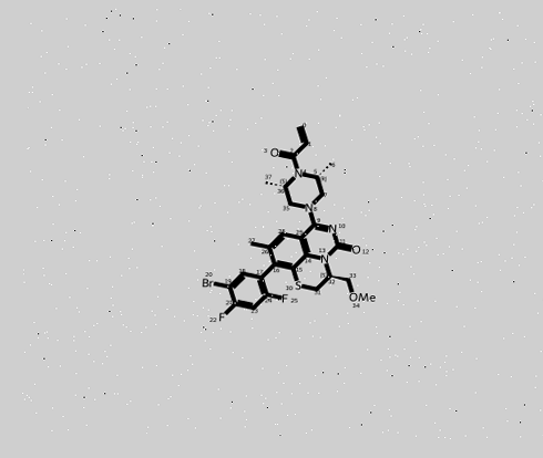 C=CC(=O)N1[C@H](C)CN(c2nc(=O)n3c4c(c(-c5cc(Br)c(F)cc5F)c(C)cc24)SC[C@@H]3COC)C[C@@H]1C